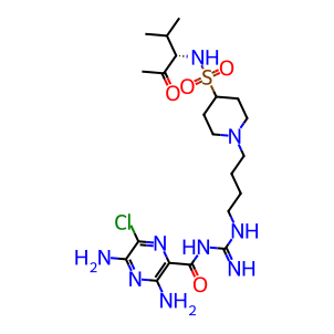 CC(=O)[C@@H](NS(=O)(=O)C1CCN(CCCCNC(=N)NC(=O)c2nc(Cl)c(N)nc2N)CC1)C(C)C